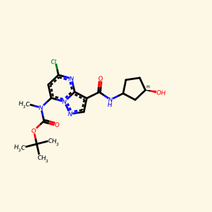 CN(C(=O)OC(C)(C)C)c1cc(Cl)nc2c(C(=O)NC3CC[C@@H](O)C3)cnn12